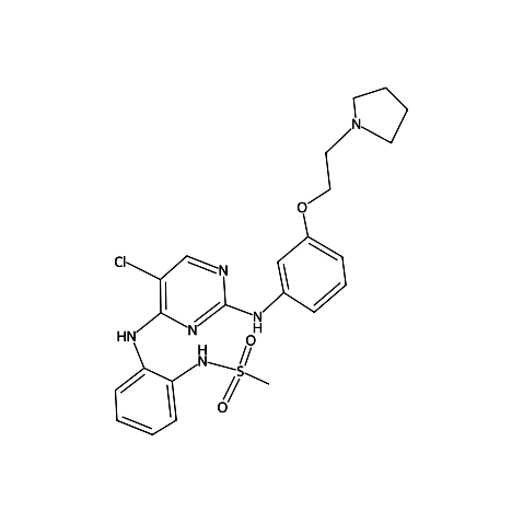 CS(=O)(=O)Nc1ccccc1Nc1nc(Nc2cccc(OCCN3CCCC3)c2)ncc1Cl